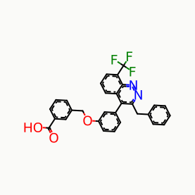 O=C(O)c1cccc(COc2cccc(-c3c(Cc4ccccc4)nnc4c(C(F)(F)F)cccc34)c2)c1